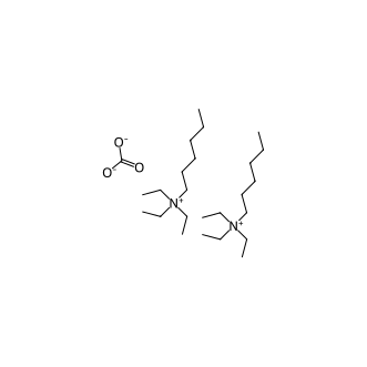 CCCCCC[N+](CC)(CC)CC.CCCCCC[N+](CC)(CC)CC.O=C([O-])[O-]